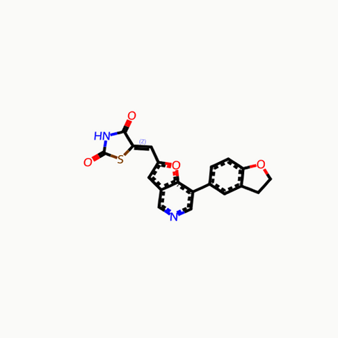 O=C1NC(=O)/C(=C/c2cc3cncc(-c4ccc5c(c4)CCO5)c3o2)S1